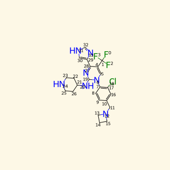 FC(F)(F)C1=CN(c2ccc(CN3CCC3)cc2Cl)C(NC2CCNCC2)N=C1c1c[nH]cn1